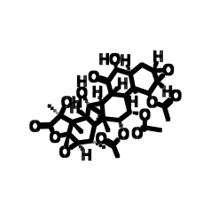 CC(=O)O[C@H]1[C@H]2[C@@H](C(=O)[C@H](O)[C@H]3C[C@@H]4O[C@@H]4[C@H](OC(C)=O)[C@]23C)[C@@H]2[C@@]3(O)C[C@@]4([C@H](C)[C@H]5O[C@]56OC(=O)[C@@](C)(O)[C@]6(C)[C@H]34)[C@@]2(C)[C@H]1OC(C)=O